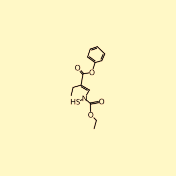 CCOC(=O)N(S)C=C(CC)C(=O)Oc1ccccc1